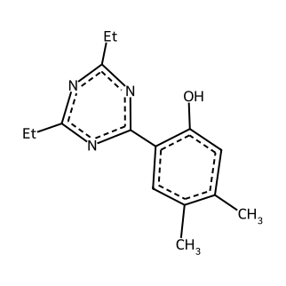 CCc1nc(CC)nc(-c2cc(C)c(C)cc2O)n1